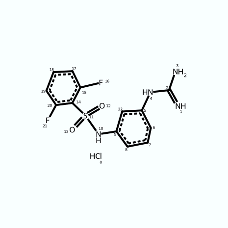 Cl.N=C(N)Nc1cccc(NS(=O)(=O)c2c(F)cccc2F)c1